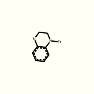 CCN1CC[N]c2ccccc21